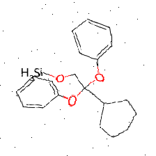 [SiH3]OCC(Oc1ccccc1)(Oc1ccccc1)C1CCCCC1